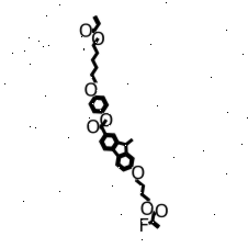 C=CC(=O)OCCCCCCOc1ccc(OC(=O)c2ccc3c(c2)C(C)c2cc(OCCCCOC(=O)C(=C)F)ccc2-3)cc1